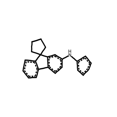 c1ccc(Nc2ccc3c(c2)C2(CCCC2)c2ccccc2-3)cc1